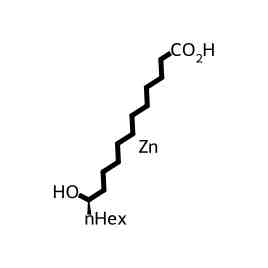 CCCCCC[C@@H](O)CCCCCCCCCCC(=O)O.[Zn]